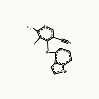 Cc1ncc(C#N)c(Nc2cccc3[nH]ccc23)c1I